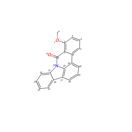 COc1cccc2c1c(=O)n1c3ccccc3c3cccc2c31